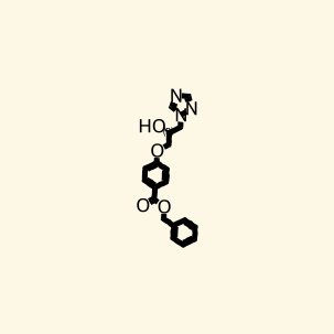 O=C(OCc1ccccc1)c1ccc(OC[C@H](O)Cn2cncn2)cc1